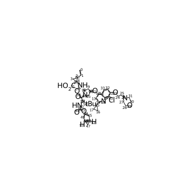 C=C[C@@H]1C[C@]1(NC(=O)[C@@H]1C[C@@H](Oc2cc(C3CC3)nc3c(Cl)c(OCCN4CCOCC4)ccc23)CN1C(=O)[C@@H](NC(=O)O[C@@H]1C[C@@H]2C[C@@H]2C1)C(C)(C)C)C(=O)O